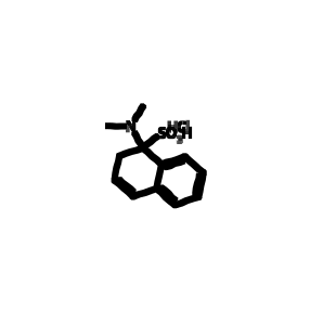 CN(C)C1(S(=O)(=O)O)CC=Cc2ccccc21.Cl